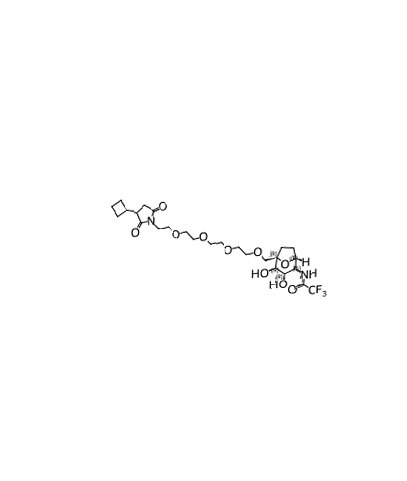 O=C1CC(C2CCC2)C(=O)N1CCOCCOCCOCCOC[C@@]12CC[C@@H](O1)[C@@H](NC(=O)C(F)(F)F)[C@@H](O)[C@H]2O